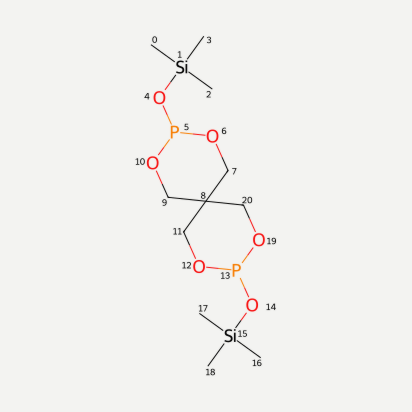 C[Si](C)(C)OP1OCC2(CO1)COP(O[Si](C)(C)C)OC2